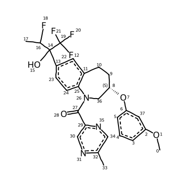 COc1cccc(O[C@H]2CCc3cc(C(O)(C(C)F)C(F)(F)F)ccc3N(C(=O)c3cnc(C)cn3)C2)c1